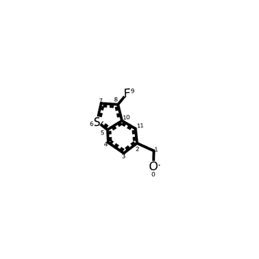 [O]Cc1ccc2scc(F)c2c1